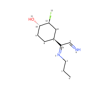 CCC/N=C(\C=N)[C@H]1CC[C@H](O)[C@@H](F)C1